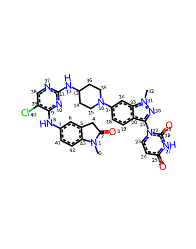 CN1C(=O)Cc2cc(Nc3nc(NC4CCN(c5ccc6c(-n7ccc(=O)[nH]c7=O)nn(C)c6c5)CC4)ncc3Cl)ccc21